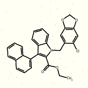 CCOC(=O)c1c(-c2cccc3ccccc23)c2ccccc2n1Cc1cc2c(cc1Cl)OCO2